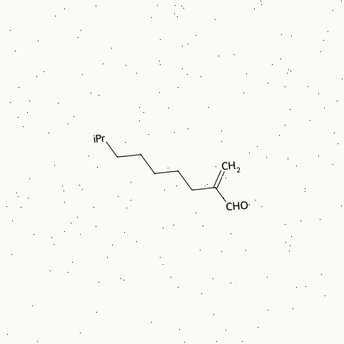 C=C([C]=O)CCCCCC(C)C